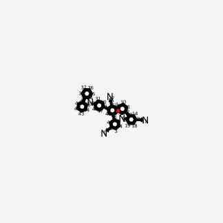 N#Cc1ccc(-n2c3ccccc3c3cc(C#N)ccc32)c(-c2ccc(C#N)c(-c3ccc(-n4c5ccccc5c5ccccc54)cc3)c2)c1